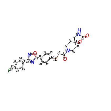 O=C1NCC2(CCN(C(=O)CSc3ccc(-c4nc(-c5ccc(F)cc5)no4)cc3)CC2)O1